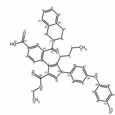 CCCCc1c(-c2ccc(C(=O)O)cc2C(=O)N2CCc3ccccc3C2)c(C(=O)OCC)nn1-c1ccc(Oc2ccc(Cl)cc2)cc1